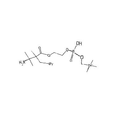 CC(C)CC(C)(C(=O)OCCOP(=O)(O)OC[N+](C)(C)C)C(C)(C)N